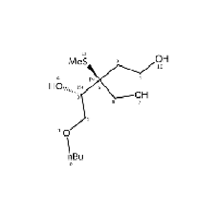 CCCCOC[C@H](O)[C@@](CO)(CCO)SC